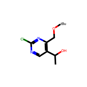 CC(O)c1cnc(Cl)nc1COC(C)(C)C